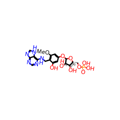 COc1cc(OC2O[C@H](COP(=O)(O)O)[C@@H](O)[C@H]2O)cc(O)c1CNc1ncnc2nc[nH]c12